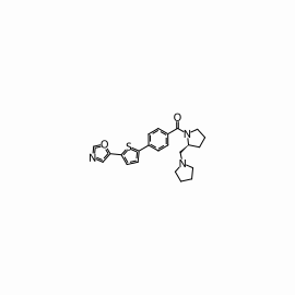 O=C(c1ccc(-c2ccc(-c3cnco3)s2)cc1)N1CCC[C@H]1CN1CCCC1